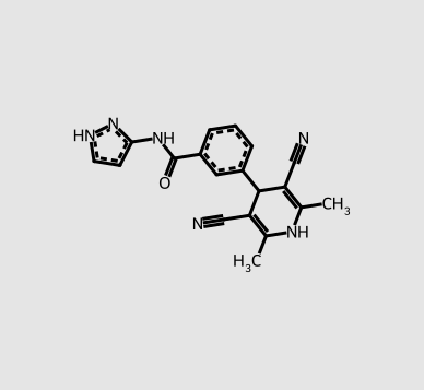 CC1=C(C#N)C(c2cccc(C(=O)Nc3cc[nH]n3)c2)C(C#N)=C(C)N1